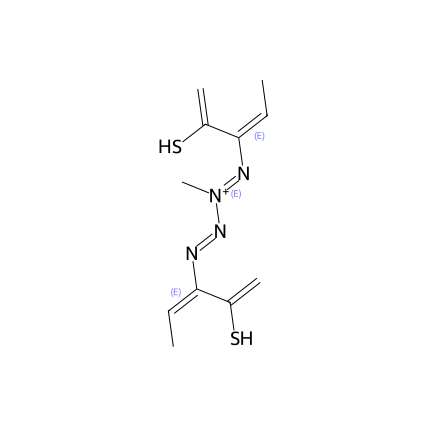 C=C(S)/C(=C\C)N=N/[N+](C)=N/C(=C/C)C(=C)S